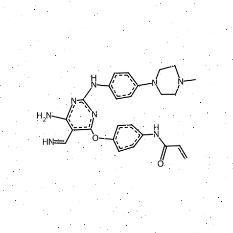 C=CC(=O)Nc1ccc(Oc2nc(Nc3ccc(N4CCN(C)CC4)cc3)nc(N)c2C=N)cc1